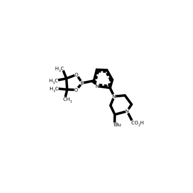 CC(C)(C)C1CN(c2cccc(B3OC(C)(C)C(C)(C)O3)n2)CCN1C(=O)O